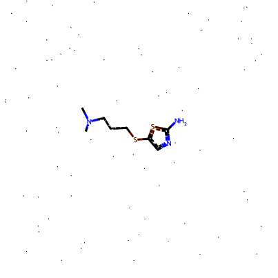 CN(C)CCCSc1cnc(N)s1